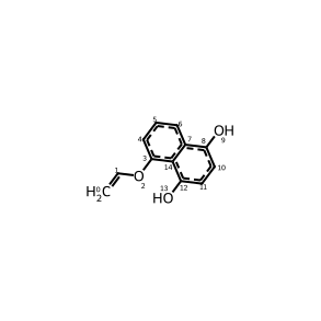 C=COc1cccc2c(O)ccc(O)c12